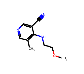 COCCNc1c(C)cncc1C#N